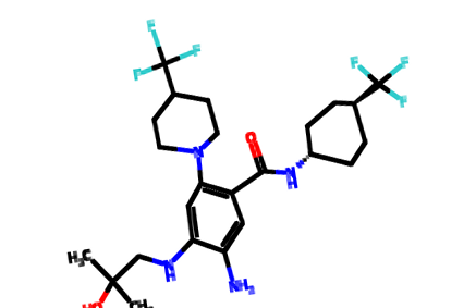 CC(C)(O)CNc1cc(N2CCC(C(F)(F)F)CC2)c(C(=O)N[C@H]2CC[C@H](C(F)(F)F)CC2)cc1N